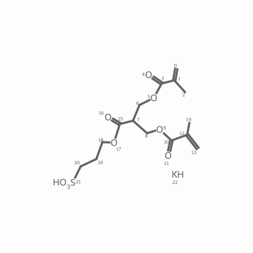 C=C(C)C(=O)OCC(COC(=O)C(=C)C)C(=O)OCCCS(=O)(=O)O.[KH]